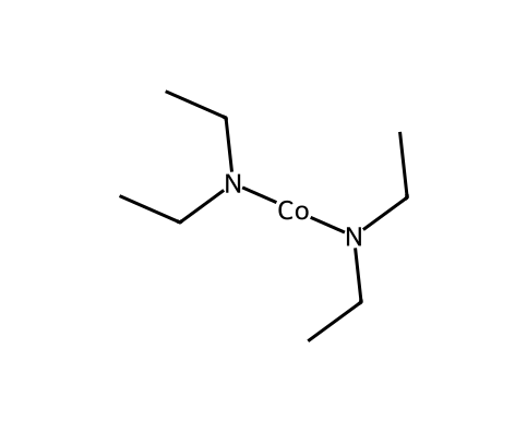 CC[N](CC)[Co][N](CC)CC